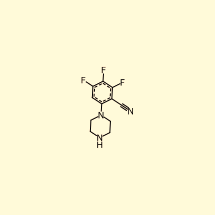 N#Cc1c(N2CCNCC2)cc(F)c(F)c1F